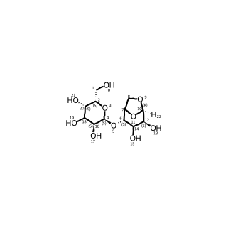 OC[C@@H]1O[C@@H](O[C@@H]2C3CO[C@H](O3)[C@@H](O)C2O)[C@@H](O)C(O)[C@@H]1O